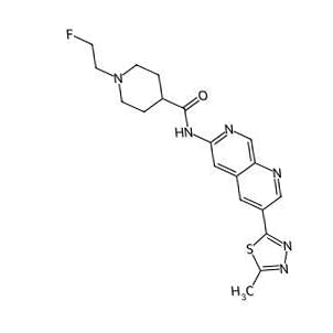 Cc1nnc(-c2cnc3cnc(NC(=O)C4CCN(CCF)CC4)cc3c2)s1